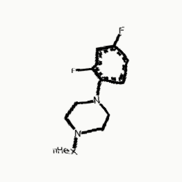 CCCCCCN1CCN(c2ccc(F)cc2F)CC1